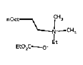 CCCCCCCCCC[N+](C)(C)CC.CCOC(=O)[O-]